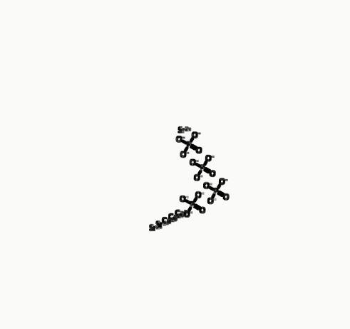 O=P([O-])([O-])[O-].O=P([O-])([O-])[O-].O=P([O-])([O-])[O-].O=P([O-])([O-])[O-].[Ca+2].[Ca+2].[Ca+2].[Sr+2].[Sr+2].[Sr+2]